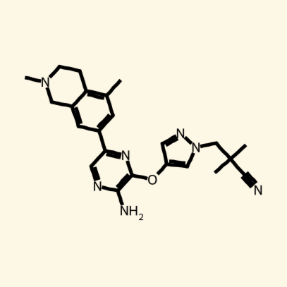 Cc1cc(-c2cnc(N)c(Oc3cnn(CC(C)(C)C#N)c3)n2)cc2c1CCN(C)C2